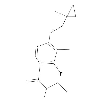 C=C(c1ccc(CCC2(C)CC2)c(C)c1F)C(C)CC